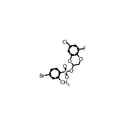 Cc1cc(Br)ccc1S(=O)(=O)OC1COc2c(F)cc(Cl)cc2O1